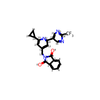 O=C1c2ccccc2C(=O)N1Cc1cc(-c2cnc(C(F)(F)F)nc2)nc(C2CC2)c1